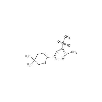 CC1(C)CCC(c2ccc(N)c(S(C)(=O)=O)c2)OC1